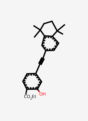 CCOC(=O)c1ccc(C#Cc2ccc3c(c2)C(C)(C)CCC3(C)C)cc1O